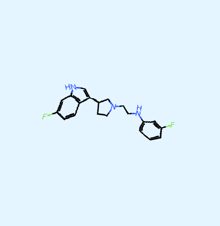 Fc1cccc(NCCN2CCC(c3c[nH]c4cc(F)ccc34)C2)c1